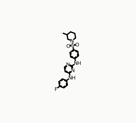 [CH2]C1CCCN(S(=O)(=O)c2ccc(Nc3nccc(Nc4ccc(F)cc4)n3)cc2)C1